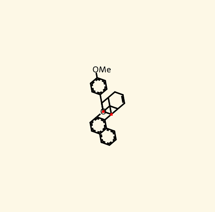 COc1ccc(C2Oc3ccc4ccccc4c3CC23C2C=CCC3CCC2)cc1